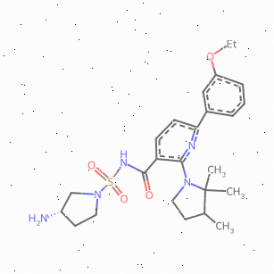 CCOc1cccc(-c2ccc(C(=O)NS(=O)(=O)N3CC[C@H](N)C3)c(N3CCC(C)C3(C)C)n2)c1